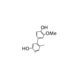 COc1cc(-c2cc(O)[c]cc2C)ccc1O